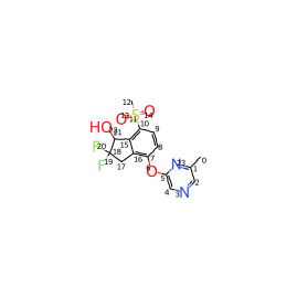 Cc1cncc(Oc2ccc(S(C)(=O)=O)c3c2CC(F)(F)C3O)n1